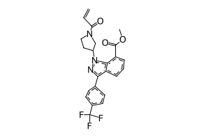 C=CC(=O)N1CCC(n2nc(-c3ccc(C(F)(F)F)cc3)c3cccc(C(=O)OC)c32)C1